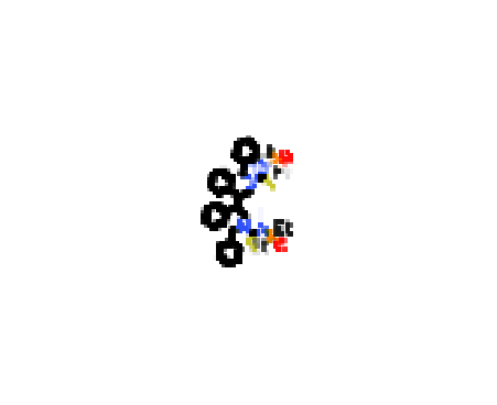 CCP(=O)(CC)NC(=S)N(Cc1ccccc1)CC(c1ccccc1)C(CN(Cc1ccccc1)C(=S)NP(=O)(CC)CC)c1ccccc1